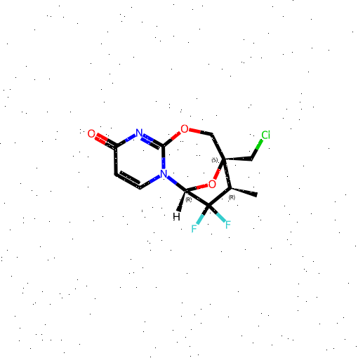 C[C@H]1C(F)(F)[C@H]2O[C@]1(CCl)COc1nc(=O)ccn12